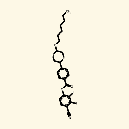 CCCCCCCOC1COC(c2ccc(C(=O)Oc3ccc(C#N)c(F)c3F)cc2)CO1